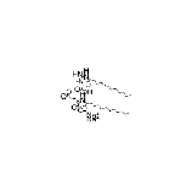 CCCCCCCCCCCC(=O)NC(=N)N(C)CC(=O)O.CCCCCCCCCCCC(=O)N[C@@H](CCC(=O)[O-])C(=O)[O-].[Na+].[Na+]